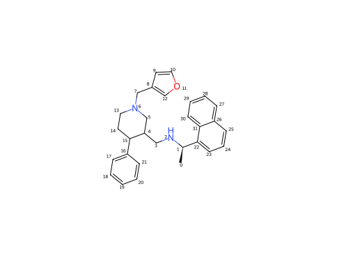 C[C@@H](NCC1CN(Cc2ccoc2)CCC1c1ccccc1)c1cccc2ccccc12